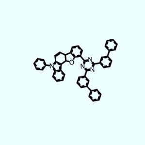 C1=CC2c3cccc(-c4nc(-c5cccc(-c6ccccc6)c5)nc(-c5cccc(-c6ccccc6)c5)n4)c3OC2c2c1n(-c1ccccc1)c1ccccc21